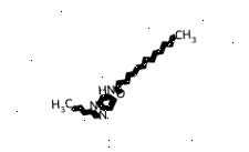 CCCCCCCCCCCCCCC(=O)Nc1ccc2ncc(CCCC)nc2c1